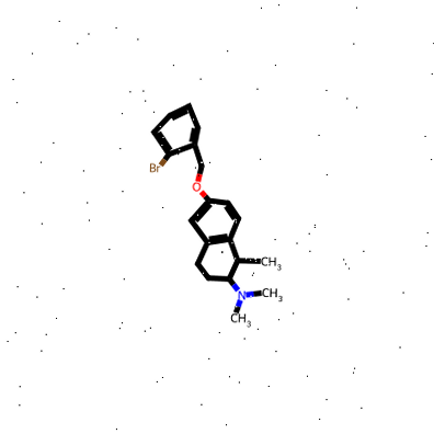 CC1c2ccc(OCc3ccccc3Br)cc2CCC1N(C)C